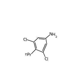 CCCc1c(Cl)[c]c(N)cc1Cl